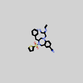 C=C/N=C(\CN)CN1CC(Cc2ccccc2)N(S(=O)(=O)c2cccs2)Cc2cc(C#N)ccc21